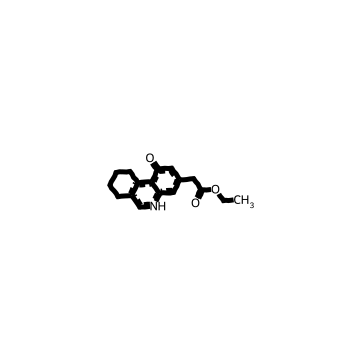 CCOC(=O)Cc1cc2[nH]cc3c(c-2c(=O)c1)CCCC3